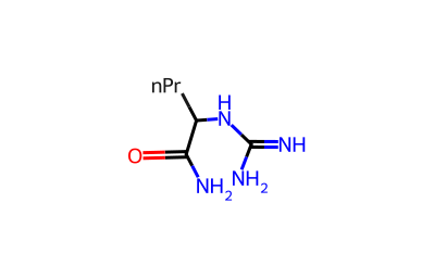 CCCC(NC(=N)N)C(N)=O